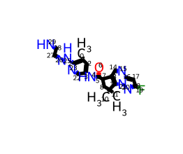 Cc1cc(NC(=O)C2CC(C)(C)c3c2cnc2cc(F)nn32)cnc1N/N=C\C=N